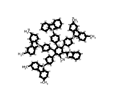 Cc1ccc2c(c1)c1cc(C)ccc1n2-c1ccc(-c2c(C#N)c(-c3nc4ccccc4s3)c(-c3ccc(-n4c5ccc(C)cc5c5cc(C)ccc54)cc3)c(-c3ccc(-n4c5ccccc5c5ccccc54)cc3)c2-c2ccc(-n3c4ccc(C)cc4c4cc(C)ccc43)cc2)cc1